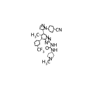 Cc1c(-c2ccnn2-c2ccc(C#N)cc2)cn2nc(NC(=O)NC3CCN(C)CC3)nc2c1-c1cccc(C(F)(F)F)c1